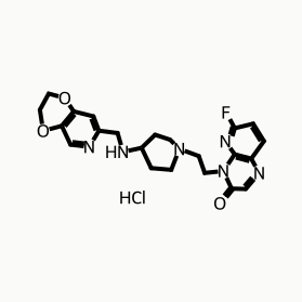 Cl.O=c1cnc2ccc(F)nc2n1CCN1CCC(NCc2cc3c(cn2)OCCO3)CC1